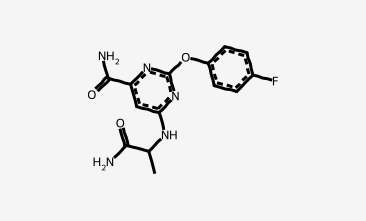 CC(Nc1cc(C(N)=O)nc(Oc2ccc(F)cc2)n1)C(N)=O